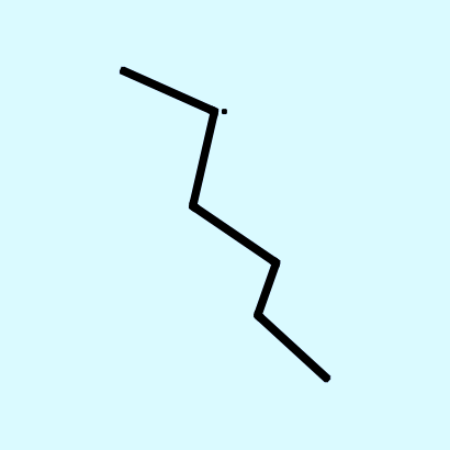 C[CH]CCCC